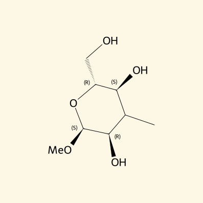 CO[C@H]1O[C@H](CO)[C@@H](O)C(C)[C@H]1O